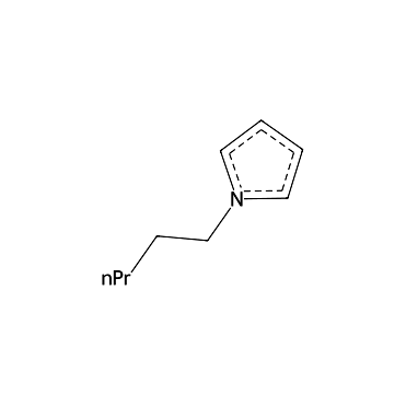 [CH2]CCCCn1cccc1